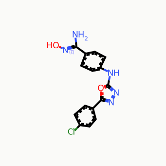 N/C(=N\O)c1ccc(Nc2nnc(-c3ccc(Cl)cc3)o2)cc1